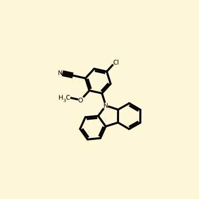 COc1c(C#N)cc(Cl)cc1N1c2ccccc2C2C=CC=CC21